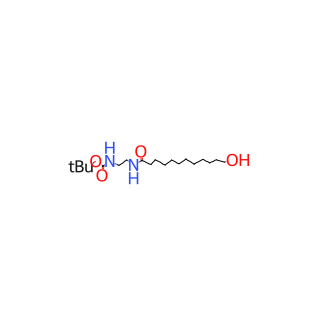 CC(C)(C)OC(=O)NCCNC(=O)CCCCCCCCCCCO